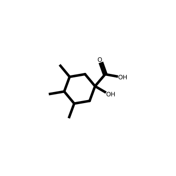 CC1CC(O)(C(=O)O)CC(C)C1C